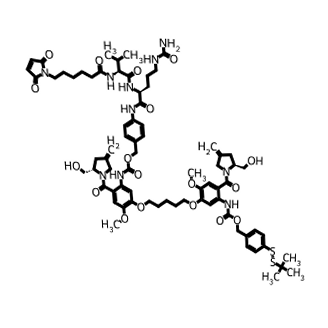 C=C1C[C@@H](CO)N(C(=O)c2cc(OC)c(OCCCCCOc3cc(NC(=O)OCc4ccc(SSC(C)(C)C)cc4)c(C(=O)N4CC(=C)C[C@H]4CO)cc3OC)cc2NC(=O)OCc2ccc(NC(=O)[C@H](CCCNC(N)=O)NC(=O)[C@@H](NC(=O)CCCCCN3C(=O)C=CC3=O)C(C)C)cc2)C1